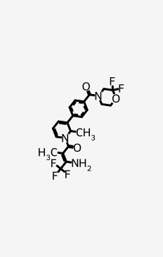 C/C(C(=O)N1C=CC=C(c2ccc(C(=O)N3CCOC(F)(F)C3)cc2)C1C)=C(/N)C(F)(F)F